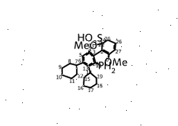 COC1=C(c2ccc(C3CCCCC3)c(C3CCCCC3)c2P)C(OC)(S(=O)(=O)O)CC=C1